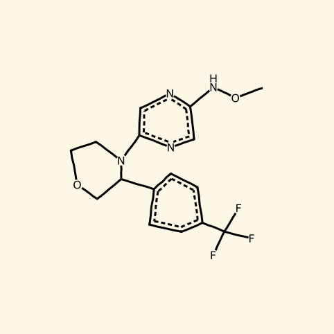 CONc1cnc(N2CCOCC2c2ccc(C(F)(F)F)cc2)cn1